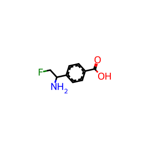 NC(CF)c1ccc(C(=O)O)cc1